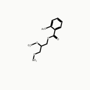 CC(=O)Oc1ccccc1C(=O)OCC(CO[N+](=O)[O-])O[N+](=O)[O-]